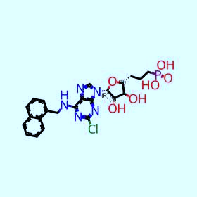 O=P(O)(O)CCC[C@H]1O[C@@H](n2cnc3c(NCc4cccc5ccccc45)nc(Cl)nc32)[C@@H](O)C1O